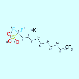 O=S(=O)([O-])C(F)(F)CCCCCCCCCC(F)(F)F.[K+]